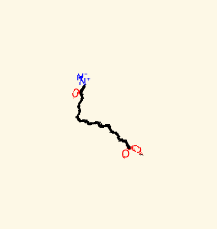 COC(=O)CCCCCCCCC/C=C\CCCC(=O)C=[N+]=[N-]